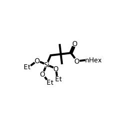 CCCCCCOC(=O)C(C)(C)C[Si](OCC)(OCC)OCC